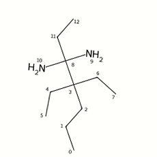 CCCC(CC)(CC)C(N)(N)CC